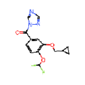 O=C(c1ccc(OC(F)F)c(OCC2CC2)c1)n1cncn1